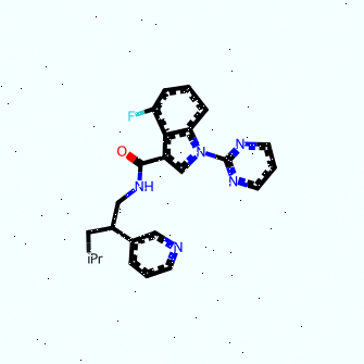 CC(C)CC(CNC(=O)c1cn(-c2ncccn2)c2cccc(F)c12)c1cccnc1